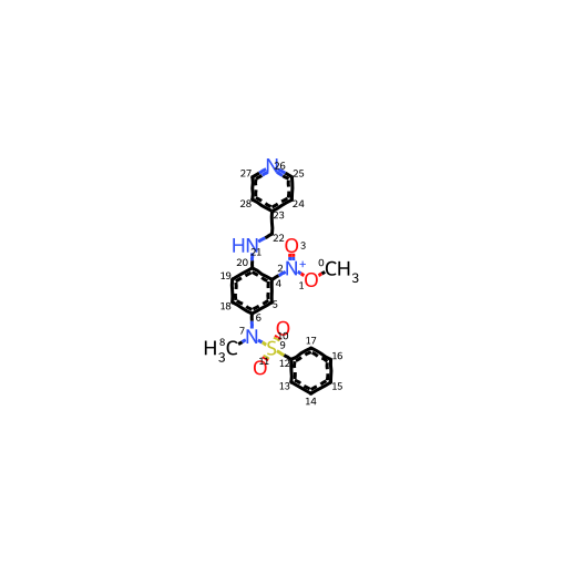 CO[N+](=O)c1cc(N(C)S(=O)(=O)c2ccccc2)ccc1NCc1ccncc1